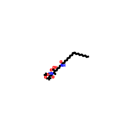 CCCCCCCC/C=C\CCCCCCCC(=O)NCCCCC(C(=O)O)C(C)NC(=O)C1OC(C)(C)OCC1(C)C